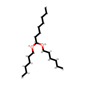 CCCCCCCC(OCCCCCC)OCCCCCC